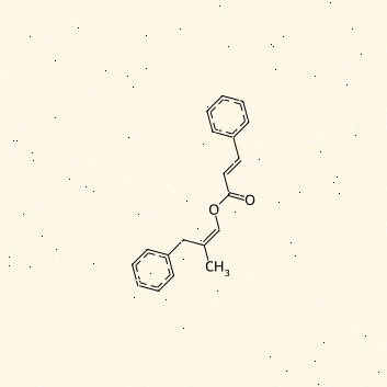 CC(=COC(=O)C=Cc1ccccc1)Cc1ccccc1